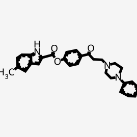 Cc1ccc2[nH]c(C(=O)Oc3ccc(C(=O)CCN4CCN(c5ccccc5)CC4)cc3)cc2c1